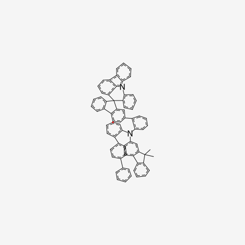 CC1(C)c2ccccc2-c2ccc(N(c3ccccc3-c3ccc(-c4ccccc4)cc3)c3ccccc3-c3ccc4c(c3)C3(c5ccccc5-4)c4ccccc4-n4c5ccccc5c5cccc3c54)cc21